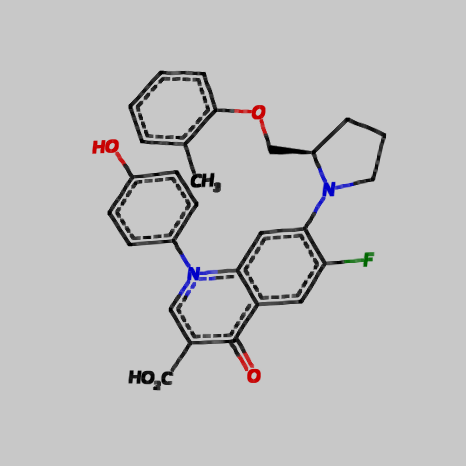 Cc1ccccc1OC[C@H]1CCCN1c1cc2c(cc1F)c(=O)c(C(=O)O)cn2-c1ccc(O)cc1